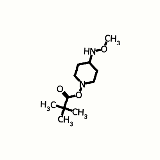 CONC1CCN(OC(=O)C(C)(C)C)CC1